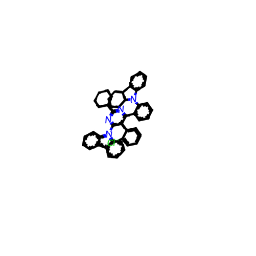 ClC1=CC=C=C=C1c1c(-c2ccccc2N2c3ccccc3C3CCCCC32)nc(C2CCCCC2)nc1-n1c2ccccc2c2ccccc21